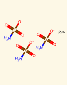 NS(=O)(=O)[O-].NS(=O)(=O)[O-].NS(=O)(=O)[O-].[Pr+3]